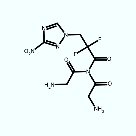 NCC(=O)N(C(=O)CN)C(=O)C(F)(F)Cn1cnc([N+](=O)[O-])n1